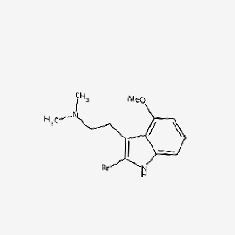 COc1cccc2[nH]c(Br)c(CCN(C)C)c12